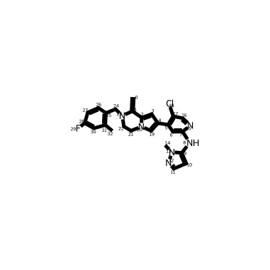 C=C1c2cc(-c3cc(Nc4ccnn4C)ncc3Cl)cn2CCN1Cc1ccc(F)cc1C